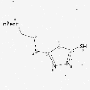 CCCCCCCSc1nnc(S)s1